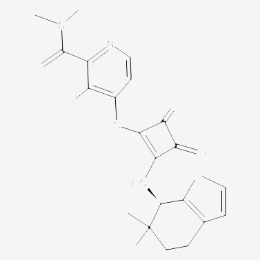 CN(C)C(=O)c1nccc(Nc2c(N[C@H]3c4sccc4CCC3(C)C)c(=O)c2=O)c1O